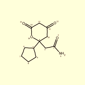 NC(=O)CC1(C2CCCC2)CC(=O)CC(=O)O1